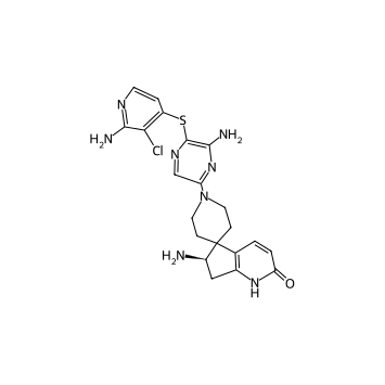 Nc1nc(N2CCC3(CC2)c2ccc(=O)[nH]c2C[C@H]3N)cnc1Sc1ccnc(N)c1Cl